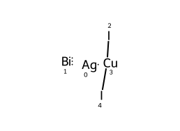 [Ag].[Bi].[I][Cu][I]